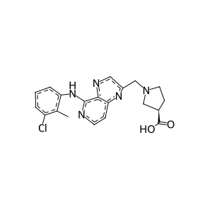 Cc1c(Cl)cccc1Nc1nccc2nc(CN3CC[C@@H](C(=O)O)C3)cnc12